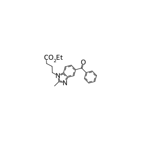 CCOC(=O)CCCn1c(C)nc2cc(C(=O)c3ccccc3)ccc21